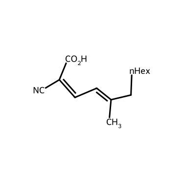 CCCCCCCC(C)=CC=C(C#N)C(=O)O